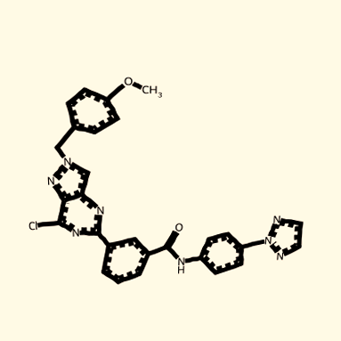 COc1ccc(Cn2cc3nc(-c4cccc(C(=O)Nc5ccc(-n6nccn6)cc5)c4)nc(Cl)c3n2)cc1